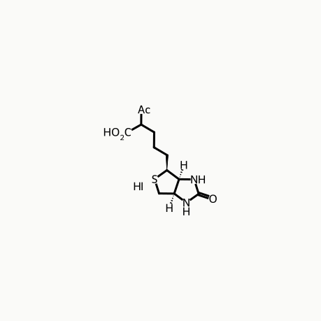 CC(=O)C(CCC[C@@H]1SC[C@@H]2NC(=O)N[C@@H]21)C(=O)O.I